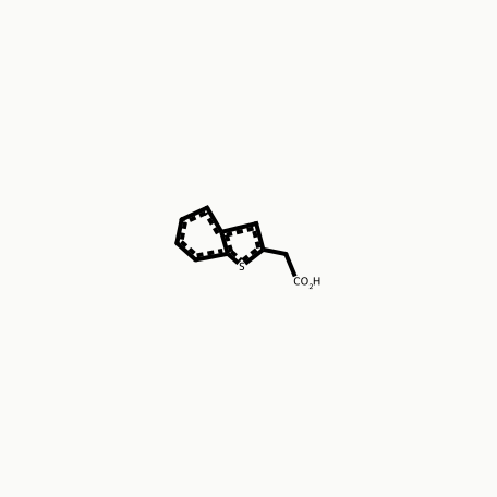 O=C(O)Cc1cc2ccccc2s1